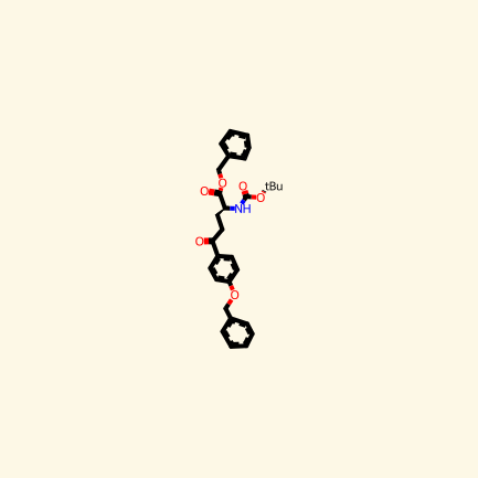 CC(C)(C)OC(=O)N[C@@H](CCC(=O)c1ccc(OCc2ccccc2)cc1)C(=O)OCc1ccccc1